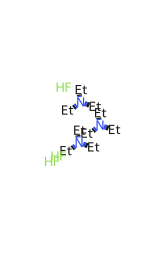 CCN(CC)CC.CCN(CC)CC.CCN(CC)CC.F.F.F